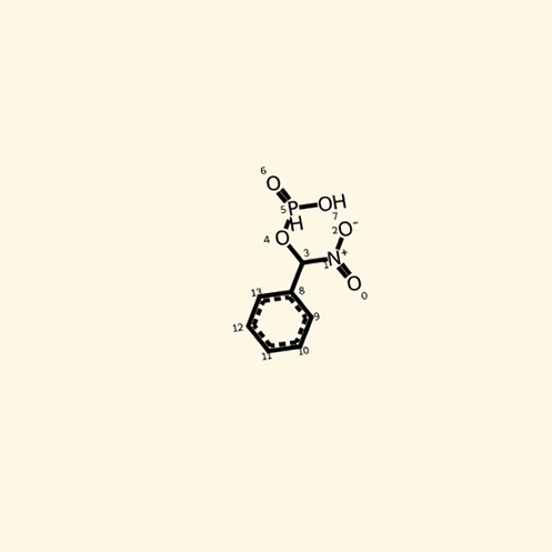 O=[N+]([O-])C(O[PH](=O)O)c1ccccc1